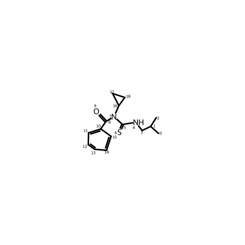 CC(C)CNC(=S)N(C(=O)c1ccccc1)C1CC1